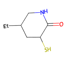 CCC1CNC(=O)C(S)C1